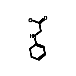 O=C(Cl)CNC1=CC=CCC1